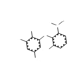 Cc1cc(Pc2c(C)cccc2N(C(C)C)C(C)C)c(O)c(C(C)(C)C)c1